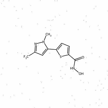 Cn1nc(C(F)(F)F)cc1-c1ccc(C(=O)NO)s1